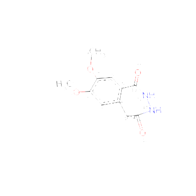 COc1cc2c(cc1OC)C(=O)NNC(=O)C2